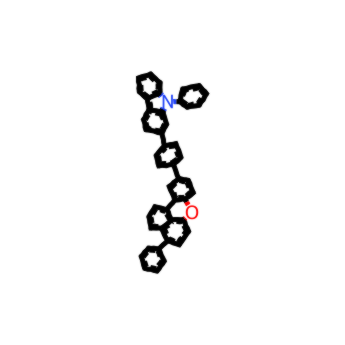 c1ccc(-c2ccc3c4c(cccc24)-c2cc(-c4ccc(-c5ccc6c7ccccc7n(-c7ccccc7)c6c5)cc4)ccc2O3)cc1